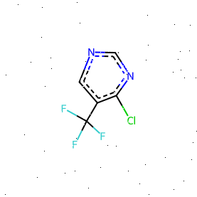 FC(F)(F)c1cn[c]nc1Cl